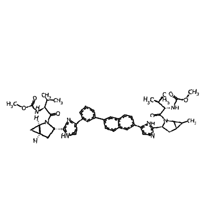 COC(=O)N[C@H](C(=O)N1C2C(C)C2C[C@H]1c1ncc(-c2ccc3cc(-c4cccc(-c5c[nH]c([C@@H]6C[C@H]7C[C@H]7N6C(=O)[C@@H](NC(=O)OC)C(C)C)n5)c4)ccc3c2)[nH]1)C(C)C